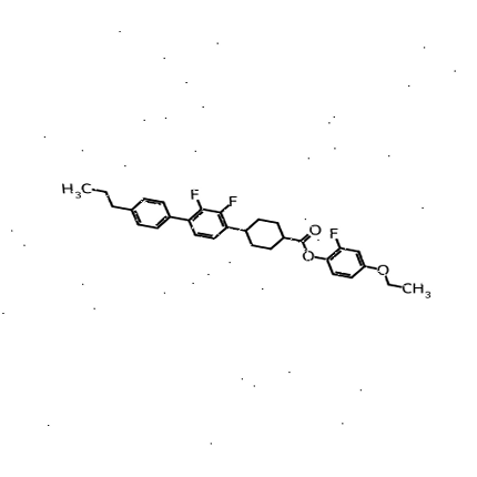 CCCc1ccc(-c2ccc(C3CCC(C(=O)Oc4ccc(OCC)cc4F)CC3)c(F)c2F)cc1